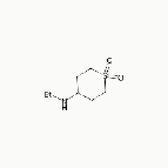 CCNC1CCS(=O)(=O)CC1